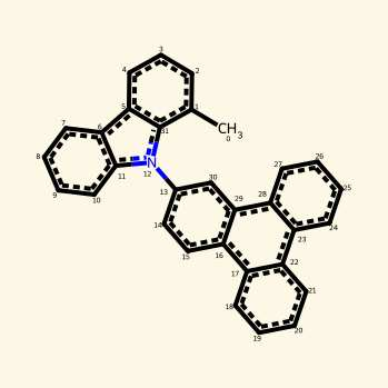 Cc1cccc2c3ccccc3n(-c3ccc4c5ccccc5c5ccccc5c4c3)c12